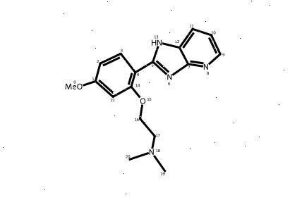 COc1ccc(-c2nc3ncccc3[nH]2)c(OCCN(C)C)c1